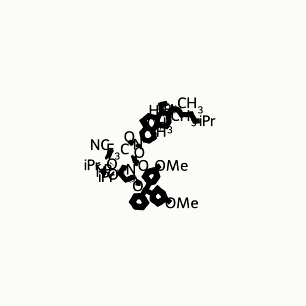 COc1ccc(C(OC[C@@H]2C[C@@H](OP(OCCC#N)N(C(C)C)C(C)C)CN2C(=O)CON(C(=O)C(F)(F)F)C2CC[C@@]3(C)C(=CC[C@H]4[C@@H]5CC[C@H]([C@H](C)CCCC(C)C)[C@@]5(C)CC[C@@H]43)C2)(c2ccccc2)c2ccc(OC)cc2)cc1